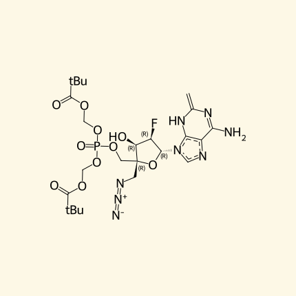 C=C1N=C(N)c2ncn([C@@H]3O[C@](CN=[N+]=[N-])(COP(=O)(OCOC(=O)C(C)(C)C)OCOC(=O)C(C)(C)C)[C@@H](O)[C@H]3F)c2N1